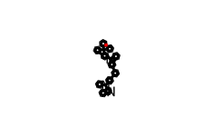 c1ccc(N(c2ccc(-c3cccc(-c4ccc5c(c4)c4ccccc4n5-c4ccc5c(c4)C(c4ccccc4)(c4ccccc4)c4ccccc4-5)c3)cc2)c2cncc3ccccc23)cc1